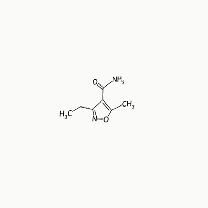 CCc1noc(C)c1C(N)=O